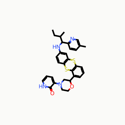 CCC(C)C(Nc1ccc2c(c1)Sc1cccc(C3CN(c4ccc[nH]c4=O)CCO3)c1S2)c1ccc(C)cn1